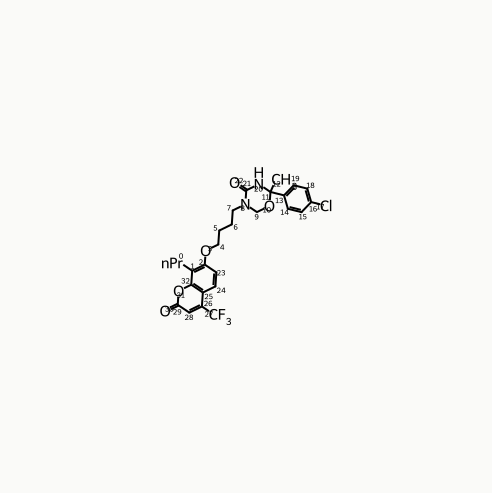 CCCc1c(OCCCCN2COC(C)(c3ccc(Cl)cc3)NC2=O)ccc2c(C(F)(F)F)cc(=O)oc12